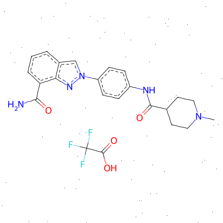 CN1CCC(C(=O)Nc2ccc(-n3cc4cccc(C(N)=O)c4n3)cc2)CC1.O=C(O)C(F)(F)F